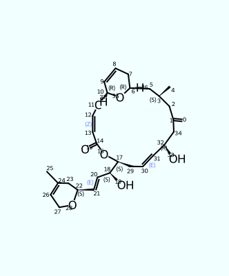 C=C1C[C@H](C)C[C@@H]2CC=C[C@@H](C/C=C\C(=O)O[C@H]([C@@H](O)/C=C/[C@@H]3CC(C)=CCO3)C/C=C/[C@H](O)C1)O2